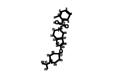 Cc1ccccc1S(=O)(=O)N1CCc2sc(OC3CCN(C(C)C)CC3)cc2C1